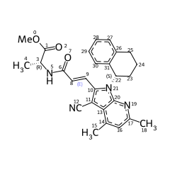 COC(=O)[C@@H](C)NC(=O)/C=C/c1c(C#N)c2c(C)cc(C)nc2n1[C@H]1CCCc2ccccc21